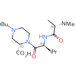 CCCCN1CCN(C(=O)[C@@H](NC(=O)[C@H](C)NC)C(C)C)[C@H](C(=O)O)C1